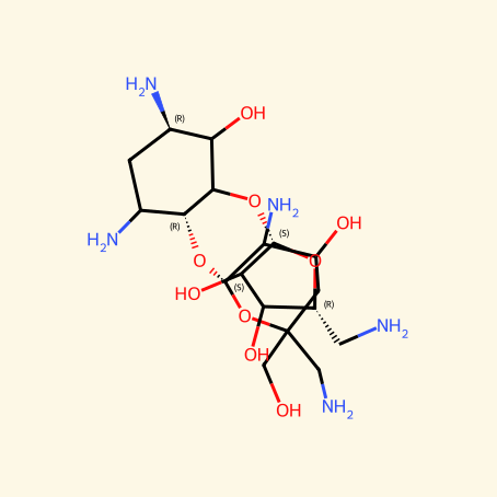 NC[C@H]1O[C@@H](OC2C(O)[C@H](N)CC(N)[C@H]2O[C@H]2OC(CN)(CO)CC(O)C2N)C(O)C1O